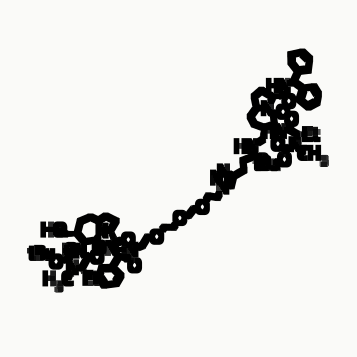 CC[C@@H](C(=O)N[C@@H]1C(=O)N2C(CC[C@@H]1CNC(=O)CCc1cn(CCOCCOCCOCCNC(=O)[C@@H](NC(=O)[C@@H]3CCC4CC[C@H](CO)[C@H](NC(=O)[C@H](CC)N(C)C(=O)OC(C)(C)C)C(=O)N43)c3ccccc3)nn1)CC[C@H]2C(=O)NC(c1ccccc1)c1ccccc1)N(C)C(=O)OC(C)(C)C